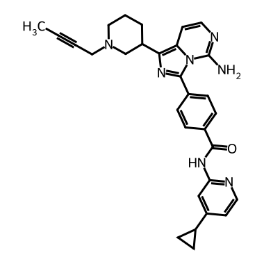 CC#CCN1CCCC(c2nc(-c3ccc(C(=O)Nc4cc(C5CC5)ccn4)cc3)n3c(N)nccc23)C1